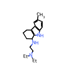 CCN(CC)CCNC1CCCc2c1[nH]c1ccc(C)cc21